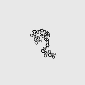 CN1CCN(Cc2ccc(COc3cccc4c3CN(C3CCC(=O)NC3=O)C4=O)c(CC(C)(C)OC(=O)N3CCN(Cc4ccc(COc5cccc6c5CN(C5CCC(=O)NC5=O)C6=O)cc4)CC3)c2)CC1